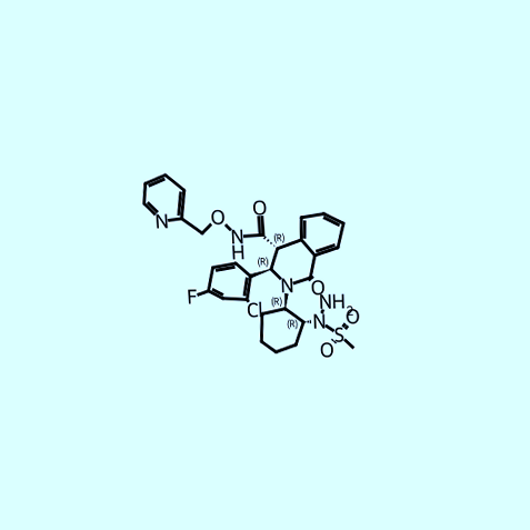 CS(=O)(=O)N(N)[C@@H]1CCCC[C@H]1N1C(=O)c2ccccc2[C@@H](C(=O)NOCc2ccccn2)[C@@H]1c1ccc(F)cc1Cl